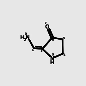 NC=C1NCCC1=O